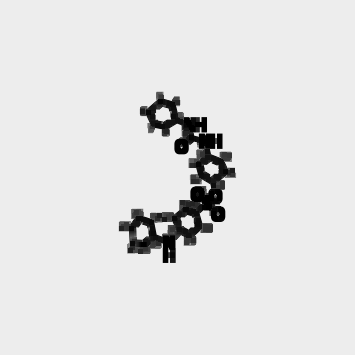 O=C(Nc1ccccc1)Nc1ccc(OS(=O)(=O)c2ccc(Nc3ccccc3)cc2)cc1